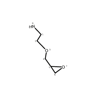 [NH]CCOCC1CO1